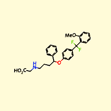 COc1ccccc1C(F)(F)c1ccc(OC(CCCNCC(=O)O)c2ccccc2)cc1